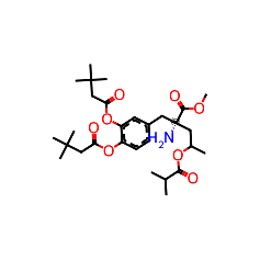 COC(=O)[C@](N)(Cc1ccc(OC(=O)CC(C)(C)C)c(OC(=O)CC(C)(C)C)c1)CC(C)OC(=O)C(C)C